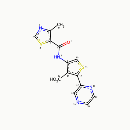 Cc1ncsc1C(=O)Nc1csc(-c2cnccn2)c1C(=O)O